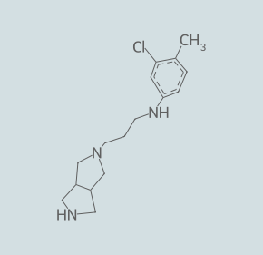 Cc1ccc(NCCCN2CC3CNCC3C2)cc1Cl